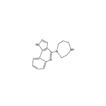 c1ccc2c(c1)nc(N1CCCNCC1)c1cc[nH]c12